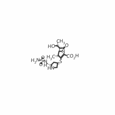 C[C@H]1C(S[C@@H]2CN[C@H](CNS(N)(=O)=O)C2)=C(C(=O)O)N2C(=O)[C@H]([C@@H](C)O)C12